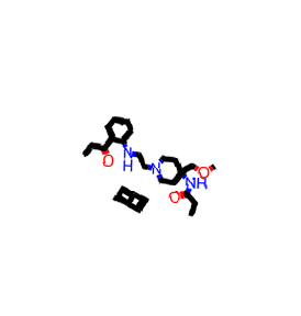 CCC(=O)NC1(COC)CCN(CCNc2ccccc2C(=O)CC)CC1.c1cc2ccc1-2